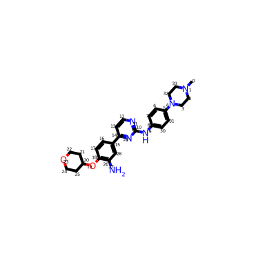 CN1CCN(c2ccc(Nc3nccc(-c4ccc(OC5CCOCC5)c(N)c4)n3)cc2)CC1